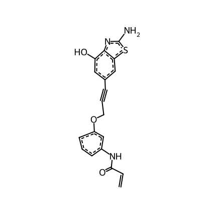 C=CC(=O)Nc1cccc(OCC#Cc2cc(O)c3nc(N)sc3c2)c1